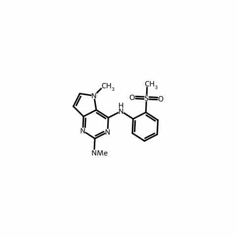 CNc1nc(Nc2ccccc2S(C)(=O)=O)c2c(ccn2C)n1